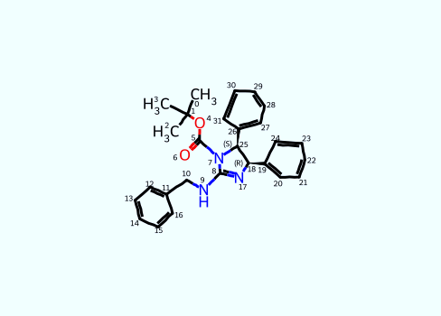 CC(C)(C)OC(=O)N1C(NCc2ccccc2)=N[C@H](c2ccccc2)[C@@H]1c1ccccc1